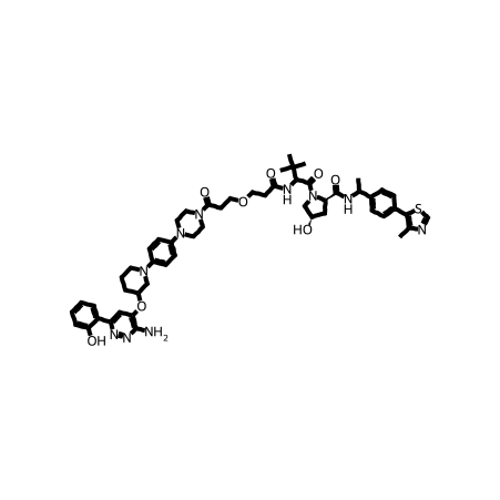 Cc1ncsc1-c1ccc(C(C)NC(=O)[C@H]2C[C@H](O)CN2C(=O)C(NC(=O)CCOCCC(=O)N2CCN(c3ccc(N4CCCC(Oc5cc(-c6ccccc6O)nnc5N)C4)cc3)CC2)C(C)(C)C)cc1